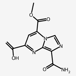 C=C(O)c1cc(C(=O)OC)n2cnc(C(N)=O)c2n1